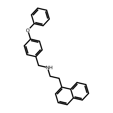 c1ccc(Oc2ccc(CNCCc3cccc4ccccc34)cc2)cc1